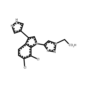 O=C(O)Cn1cc(-n2cc(-c3cn[nH]c3)c3ccc(Cl)c(Cl)c32)nn1